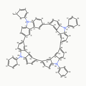 CC1C=CC=C(n2c3ccc4cc3c3cc(ccc32)c2ccc3c(c2)c2cc(ccc2n3-c2ccccc2)c2ccc3c(c2)c2cc(ccc2n3-c2ccccc2)c2ccc3c(c2)c2cc4ccc2n3-c2ccccc2)C1